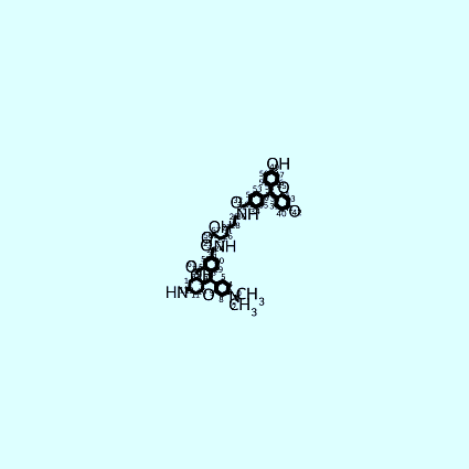 CN(C)c1ccc2c(c1)OC1CC(=N)CCC1=C2c1ccc(C(=O)NC(CCCCNC(=O)c2ccc(-c3c4ccc(=O)cc-4oc4cc(O)ccc34)cc2)C(=O)O)cc1C(=O)O